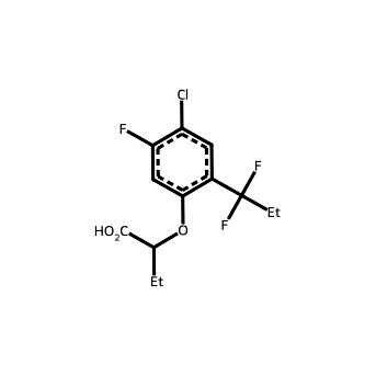 CCC(Oc1cc(F)c(Cl)cc1C(F)(F)CC)C(=O)O